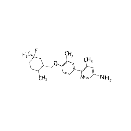 Cc1cc(-c2ncc(N)cc2C)ccc1OC[C@H]1C[C@@](C)(F)CCC1C